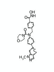 Cn1ncc2ccc(-c3ccc(N(Cc4ccc(C(=O)NO)cc4)C(=O)N4CCOCC4)cc3)cc21